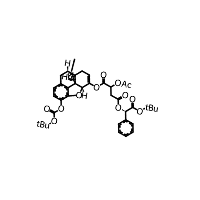 CC(=O)OC(CC(=O)O[C@H](C(=O)OC(C)(C)C)c1ccccc1)C(=O)OC1=CC[C@@]2(O)[C@H]3Cc4ccc(OC(=O)OC(C)(C)C)c5c4[C@@]2(CCN3C)[C@H]1O5